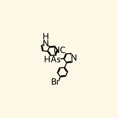 N#Cc1cncc(-c2ccc(Br)cc2)c1[AsH]c1ccc2[nH]ccc2c1